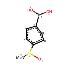 CN[S+]([O-])c1ccc(B(O)O)cc1